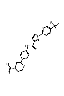 O=C(Nc1ccc(C2CN(C(=O)O)CCO2)cc1)c1ccn(-c2ncc(C(F)(F)F)cn2)n1